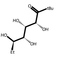 CC[C@@H](O)[C@@H](O)[C@H](O)[C@@H](O)C(=O)C(C)(C)C